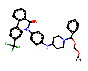 COCOC(c1ccccc1)N1CCC(Nc2ccc(NC(=O)c3ccccc3-c3ccc(C(F)(F)F)cc3)cc2)CC1